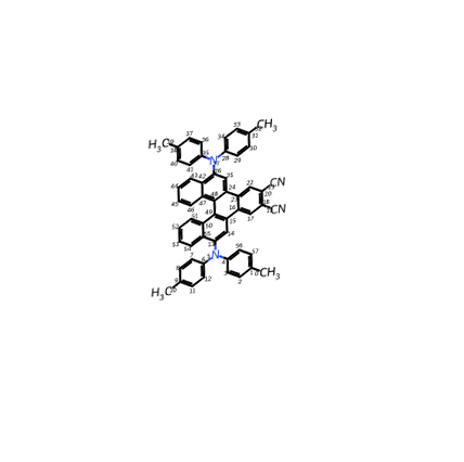 Cc1ccc(N(c2ccc(C)cc2)c2cc3c4cc(C#N)c(C#N)cc4c4cc(N(c5ccc(C)cc5)c5ccc(C)cc5)c5ccccc5c4c3c3ccccc23)cc1